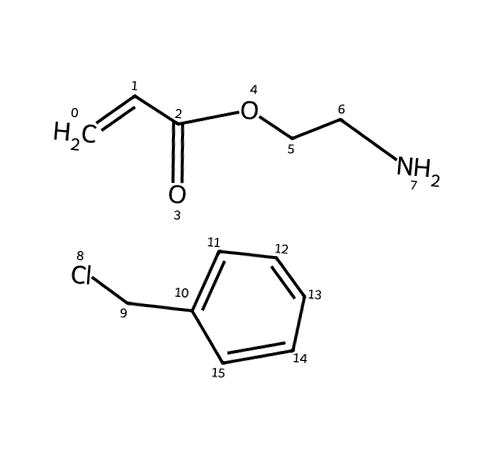 C=CC(=O)OCCN.ClCc1ccccc1